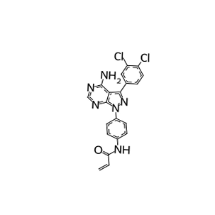 C=CC(=O)Nc1ccc(-n2nc(-c3ccc(Cl)c(Cl)c3)c3c(N)ncnc32)cc1